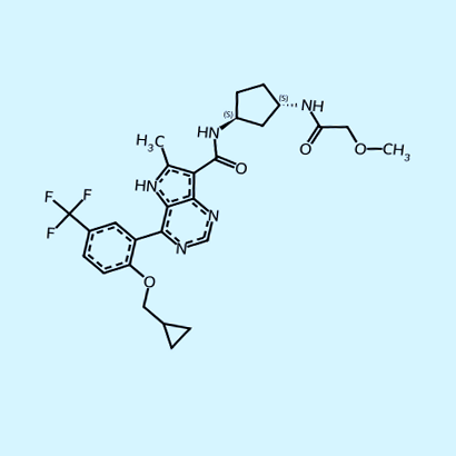 COCC(=O)N[C@H]1CC[C@H](NC(=O)c2c(C)[nH]c3c(-c4cc(C(F)(F)F)ccc4OCC4CC4)ncnc23)C1